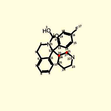 O=C(O)N1CCc2ccccc2C1(c1ccc(F)cc1)C1CN2CCC1CC2